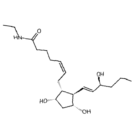 CCC[C@H](O)/C=C/[C@@H]1[C@@H](C/C=C\CCCC(=O)NCC)[C@@H](O)C[C@H]1O